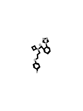 O=C(c1ccccc1-n1cnnc1)N(CCCOc1ccc(F)cc1)C1CCC1